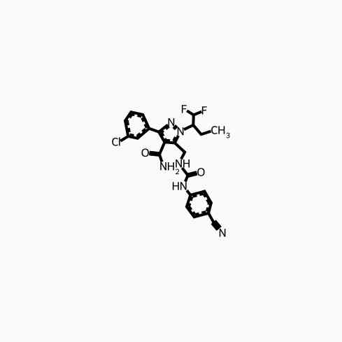 CCC(C(F)F)n1nc(-c2cccc(Cl)c2)c(C(N)=O)c1CNC(=O)Nc1ccc(C#N)cc1